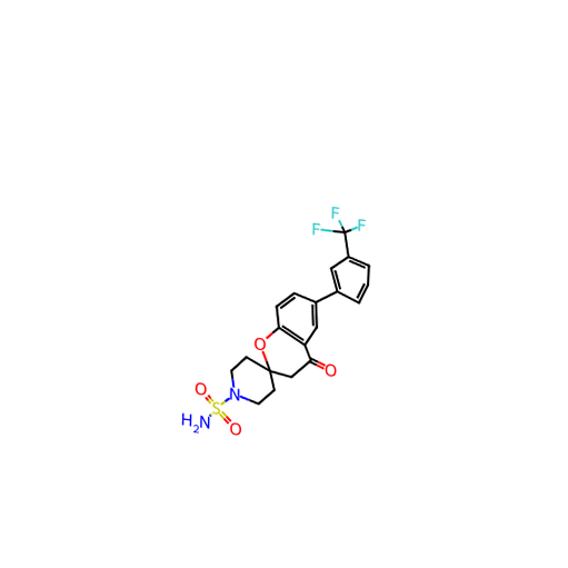 NS(=O)(=O)N1CCC2(CC1)CC(=O)c1cc(-c3cccc(C(F)(F)F)c3)ccc1O2